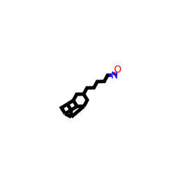 O=NCCCCCC1CC2C3CC4C5C(C1)C2C345